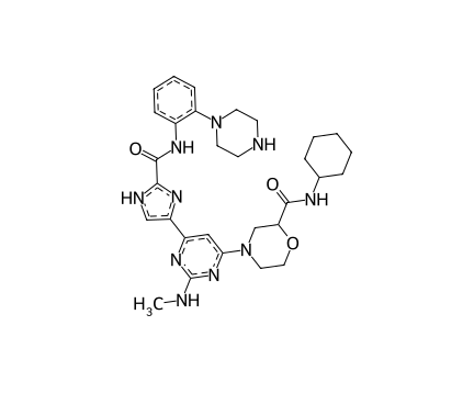 CNc1nc(-c2c[nH]c(C(=O)Nc3ccccc3N3CCNCC3)n2)cc(N2CCOC(C(=O)NC3CCCCC3)C2)n1